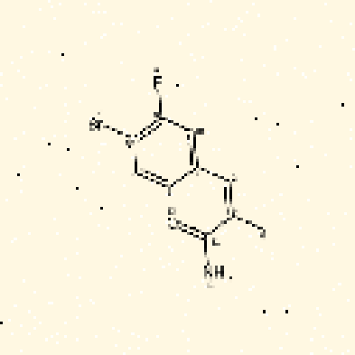 CC(=Cc1ccc(Br)c(F)c1)C(N)=O